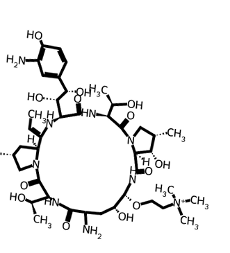 CC=C1N[C@@H]([C@H](O)[C@@H](O)c2ccc(O)c(N)c2)C(=O)N[C@@H]([C@@H](C)O)C(=O)N2C[C@H](C)[C@H](O)[C@H]2C(=O)N[C@H](OCC[N+](C)(C)C)[C@H](O)CC(N)C(=O)N[C@@H]([C@@H](C)O)C(=O)N2C[C@H](O)C[C@@H]12